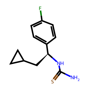 NC(=S)N[C@@H](CC1CC1)c1ccc(F)cc1